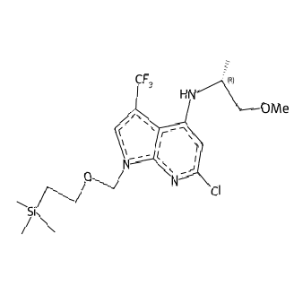 COC[C@@H](C)Nc1cc(Cl)nc2c1c(C(F)(F)F)cn2COCC[Si](C)(C)C